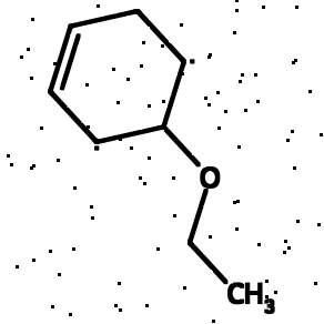 CCOC1[CH]C=CC[CH]1